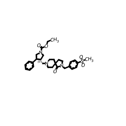 CCOC(=O)N1CC(c2ccccc2)[C@@H](CN2CCC3(CC2)CCN(Cc2ccc(S(C)(=O)=O)cc2)C3=O)C1